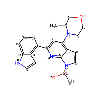 CC1COCCN1c1cc(-c2cccc3[nH]ccc23)nc2c1ccn2[S+](C)[O-]